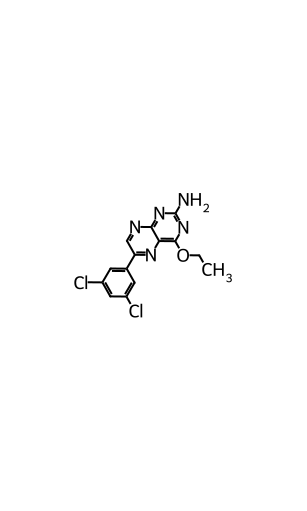 CCOc1nc(N)nc2ncc(-c3cc(Cl)cc(Cl)c3)nc12